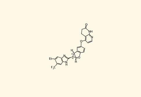 CCc1cc2nc([C@@H]3[C@H]4Oc5ccc(Oc6ccnc7c6CCC(=O)N7)cc5[C@H]43)[nH]c2cc1C(F)(F)F